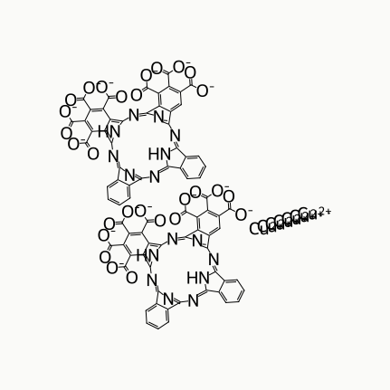 O=C([O-])c1cc2c(c(C(=O)[O-])c1C(=O)[O-])-c1nc-2nc2[nH]c(nc3nc(nc4[nH]c(n1)c1c(C(=O)[O-])c(C(=O)[O-])c(C(=O)[O-])c(C(=O)[O-])c41)-c1ccccc1-3)c1ccccc21.O=C([O-])c1cc2c(c(C(=O)[O-])c1C(=O)[O-])-c1nc-2nc2[nH]c(nc3nc(nc4[nH]c(n1)c1c(C(=O)[O-])c(C(=O)[O-])c(C(=O)[O-])c(C(=O)[O-])c41)-c1ccccc1-3)c1ccccc21.[Cu+2].[Cu+2].[Cu+2].[Cu+2].[Cu+2].[Cu+2].[Cu+2]